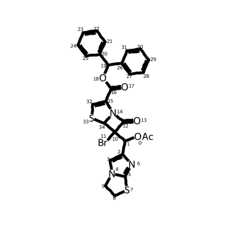 CC(=O)OC(c1cn2c(n1)SCC2)C1(Br)C(=O)N2C(C(=O)OC(c3ccccc3)c3ccccc3)=CSC21